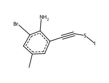 Cc1cc(Br)c(N)c(C#CSI)c1